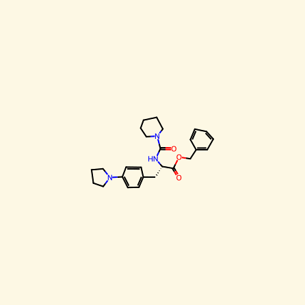 O=C(OCc1ccccc1)[C@H](Cc1ccc(N2CCCC2)cc1)NC(=O)N1CCCCC1